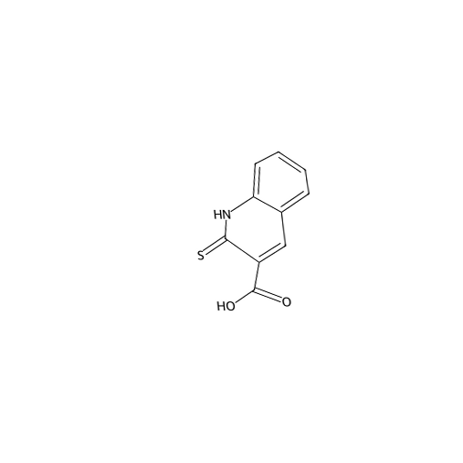 O=C(O)c1cc2ccccc2[nH]c1=S